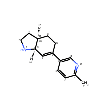 Cc1ccc(C2=C[C@H]3NCC[C@H]3CC2)cn1